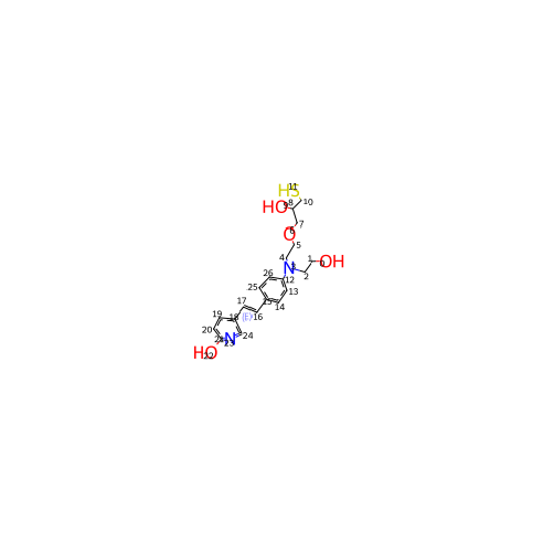 OCCN(CCOCC(O)CS)c1ccc(/C=C/c2ccc(O)nc2)cc1